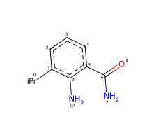 CC(C)c1cccc(C(N)=O)c1N